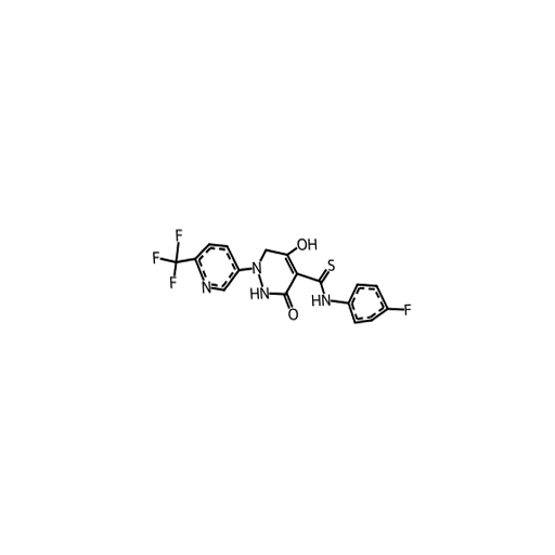 O=C1NN(c2ccc(C(F)(F)F)nc2)CC(O)=C1C(=S)Nc1ccc(F)cc1